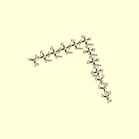 CCCCCC[P+](CC)(CC)CC.CCCCCC[P+](CC)(CC)CC.CCCCCC[P+](CC)(CC)CC.CCCCCC[P+](CC)(CC)CC.CCCCCC[P+](CC)(CC)CC.CCCCCC[P+](CC)(CC)CC.CCCCCC[P+](CC)(CC)CC.CCCCCC[P+](CC)(CC)CC.N#CB([O-])[O-].N#CB([O-])[O-].N#CB([O-])[O-].N#CB([O-])[O-]